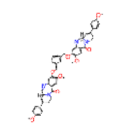 COc1ccc(C2=C[C@H]3C=Nc4cc(OCc5cccc(COc6cc7c(cc6OC)C(=O)N6CCC(c8ccc(OC)cc8)=C[C@H]6C=N7)c5)c(OC)cc4C(=O)N3CC2)cc1